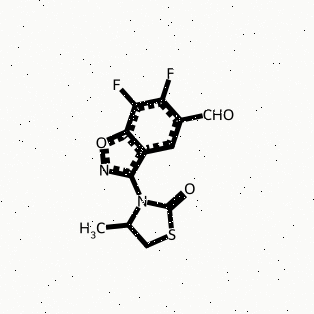 CC1CSC(=O)N1c1noc2c(F)c(F)c(C=O)cc12